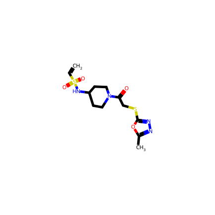 C=CS(=O)(=O)NC1CCN(C(=O)CSc2nnc(C)o2)CC1